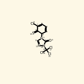 O=c1n(C2C=CC=C(Cl)C2=S)cnn1C(Cl)(Cl)Cl